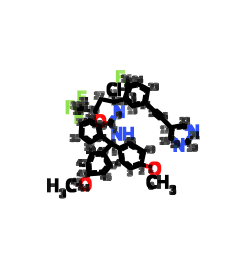 COc1ccc(C(NC2=N[C@](C)(c3cc(C#Cc4cncnc4)ccc3F)C[C@@H](C(F)(F)F)O2)(c2ccccc2)c2ccc(OC)cc2)cc1